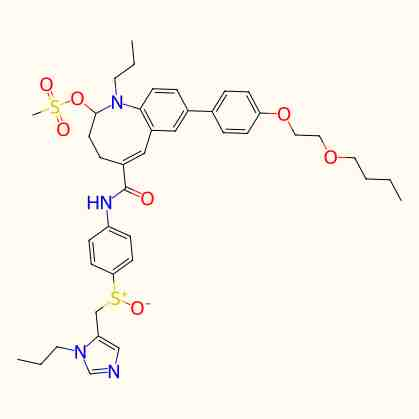 CCCCOCCOc1ccc(-c2ccc3c(c2)C=C(C(=O)Nc2ccc([S+]([O-])Cc4cncn4CCC)cc2)CCC(OS(C)(=O)=O)N3CCC)cc1